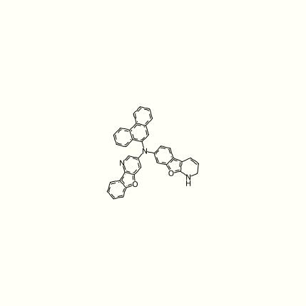 C1=Cc2c(oc3cc(N(c4cnc5c(c4)oc4ccccc45)c4cc5ccccc5c5ccccc45)ccc23)NC1